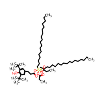 CCCCCCCCCCCCCCCCCC[SH](CCCCCCCCCCCCCCCCCC)(OC(=O)CC)(OC(=O)CC)OC(=O)CCc1cc(C(C)(C)C)c(O)c(C(C)(C)C)c1